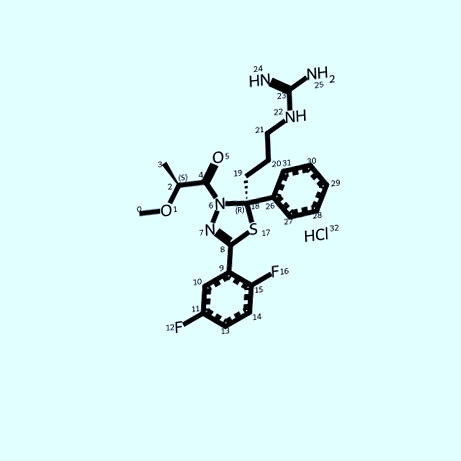 CO[C@@H](C)C(=O)N1N=C(c2cc(F)ccc2F)S[C@]1(CCCNC(=N)N)c1ccccc1.Cl